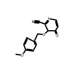 COc1ccc(COC2C(=O)C=CN=C2C#N)cc1